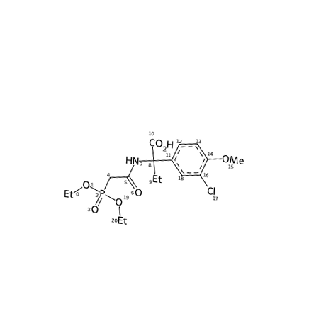 CCOP(=O)(CC(=O)NC(CC)(C(=O)O)c1ccc(OC)c(Cl)c1)OCC